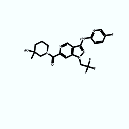 CC1(O)CCCN(C(=O)c2cc3c(cn2)c(Nc2ccc(F)cn2)nn3CC(F)(F)F)C1